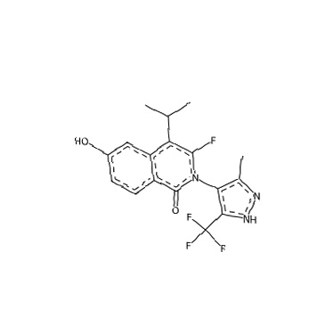 Cc1n[nH]c(C(F)(F)F)c1-n1c(F)c(C(C)C)c2cc(O)ccc2c1=O